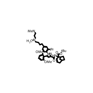 CNCCCN(C)CCCCc1ccc(-n2nc(C(=O)NC3(C(=O)OC(C)(C)C)C=CCC4CCC3C4)cc2-c2c(OC)cccc2OC)c(C(C)C)c1